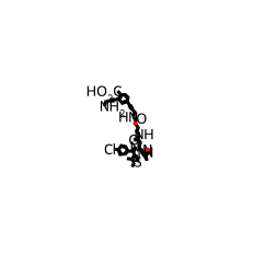 Cc1sc2c(c1C)C(c1ccc(Cl)cc1)=NC(CC(=O)NCCCC(=O)NCC#Cc1ccc(C(=O)O)c(C#CCN)c1)c1nnc(C)n1-2